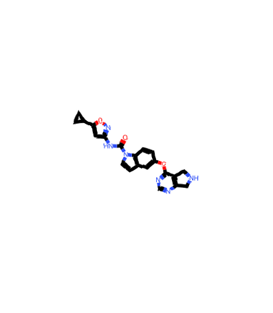 O=C(Nc1cc(C2CC2)on1)n1ccc2cc(Oc3ncnc4c3CNC4)ccc21